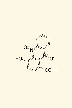 O=C(O)c1ccc(O)c2c1[n+]([O-])c1ccccc1[n+]2[O-]